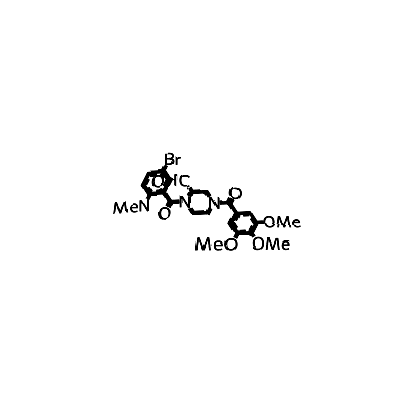 CNc1ccc(Br)cc1C(=O)N1CCN(C(=O)c2cc(OC)c(OC)c(OC)c2)CC1C=O